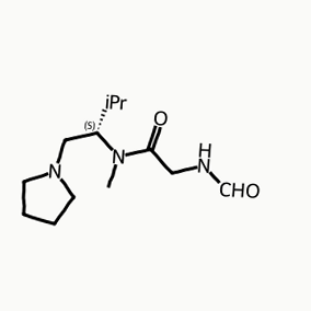 CC(C)[C@@H](CN1CCCC1)N(C)C(=O)CNC=O